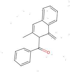 C=C1c2ccccc2C=C(C)C1C(=O)c1ccccc1